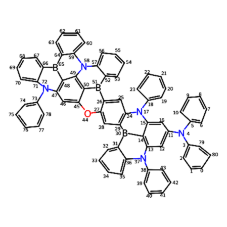 c1ccc(N(c2ccccc2)c2cc3c4c(c2)N(c2ccccc2)c2cc5c(cc2B4c2ccccc2N3c2ccccc2)Oc2cc3c4c6c2B5c2ccccc2N6c2ccccc2B4c2ccccc2N3c2ccccc2)cc1